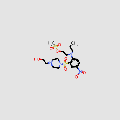 CCCN(CCOS(C)(=O)=O)c1ccc([N+](=O)[O-])cc1S(=O)(=O)N1CCN(CCO)CC1